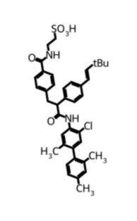 Cc1ccc(-c2cc(Cl)c(NC(=O)C(Cc3ccc(C(=O)NCCS(=O)(=O)O)cc3)c3ccc(/C=C/C(C)(C)C)cc3)cc2C)c(C)c1